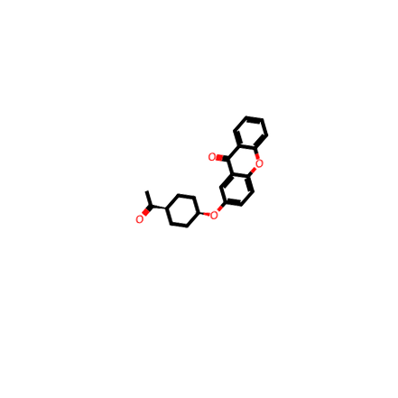 CC(=O)[C@H]1CC[C@@H](Oc2ccc3oc4ccccc4c(=O)c3c2)CC1